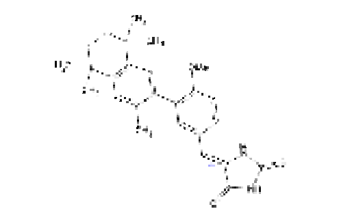 COc1ccc(/C=C2\NC(=S)NC2=O)cc1-c1cc2c(cc1C)C(C)(C)CCC2(C)C